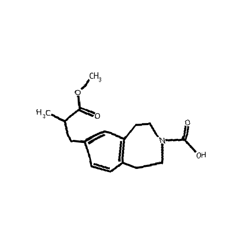 COC(=O)C(C)Cc1ccc2c(c1)CCN(C(=O)O)CC2